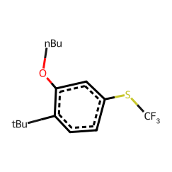 CCCCOc1cc(SC(F)(F)F)ccc1C(C)(C)C